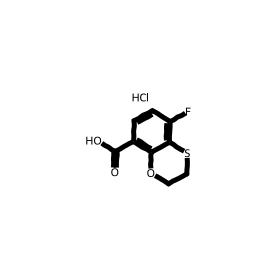 Cl.O=C(O)c1ccc(F)c2c1OCCS2